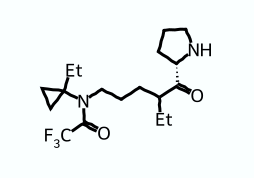 CCC(CCCN(C(=O)C(F)(F)F)C1(CC)CC1)C(=O)[C@@H]1CCCN1